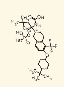 CC(C)(C)C[C@@](COP(=O)(O)O)(NC(=O)O)[C@H]1CCc2c(ccc(OC3CCC(C(C)(C)C)CC3)c2C(F)(F)F)C1